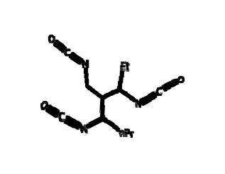 CCCC(N=C=O)C(CN=C=O)C(CC)N=C=O